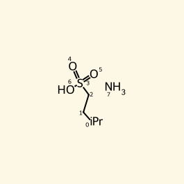 CC(C)CCS(=O)(=O)O.N